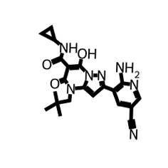 CC(C)(C)Cn1c(=O)c(C(=O)NC2CC2)c(O)n2nc(-c3cc(C#N)cnc3N)cc12